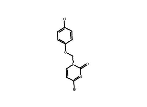 O=c1nc(Br)ccn1COc1ccc(Cl)cc1